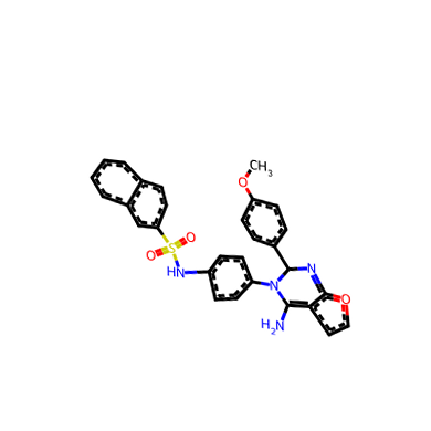 COc1ccc(C2N=c3occc3=C(N)N2c2ccc(NS(=O)(=O)c3ccc4ccccc4c3)cc2)cc1